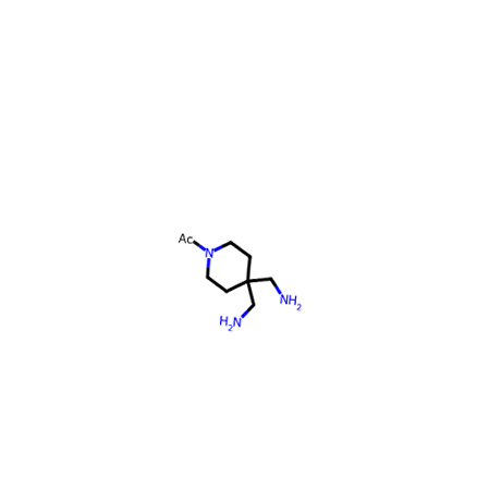 CC(=O)N1CCC(CN)(CN)CC1